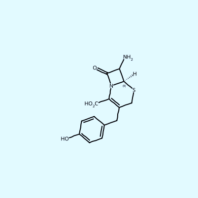 NC1C(=O)N2C(C(=O)O)=C(Cc3ccc(O)cc3)CS[C@H]12